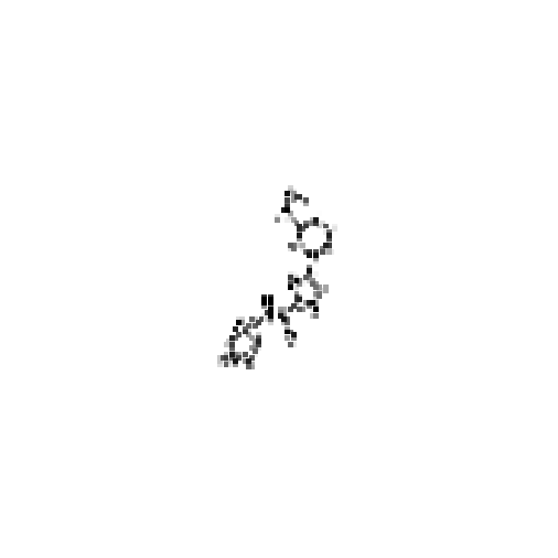 COc1cccc(-c2cnc(C(=O)NC3CC4CC3CN4)o2)c1